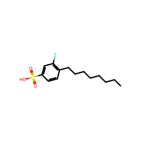 CCCCCCCCc1ccc(S(=O)(=O)O)cc1F